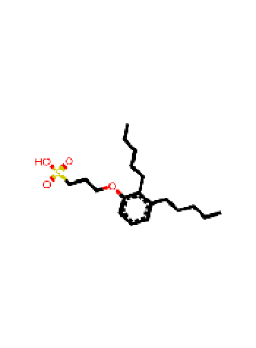 CCCCCc1cccc(OCCCS(=O)(=O)O)c1CCCCC